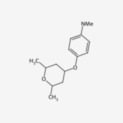 CNc1ccc(OC2CC(C)OC(C)C2)cc1